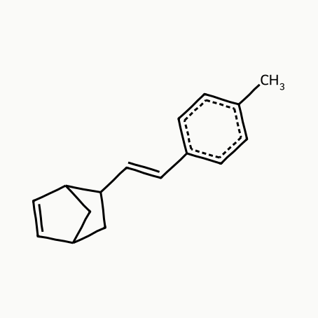 Cc1ccc(C=CC2CC3C=CC2C3)cc1